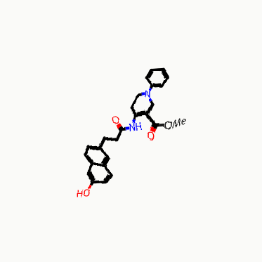 COC(=O)C1=C(NC(=O)CCc2ccc3cc(O)ccc3c2)CCN(c2ccccc2)C1